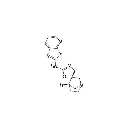 c1cnc2sc(NC3=NC[C@]4(CN5CC[C@H]4C5)O3)nc2c1